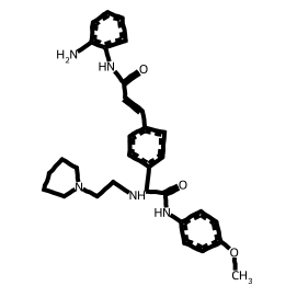 COc1ccc(NC(=O)C(NCCN2CCCCC2)c2ccc(/C=C/C(=O)Nc3ccccc3N)cc2)cc1